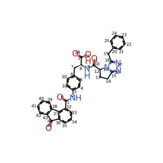 O=C(Nc1ccc(C[C@H](NC(=O)C2CCc3nnc(Cc4ccccc4)n32)C(=O)O)cc1)c1cccc2c1-c1ccccc1C2=O